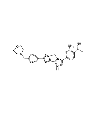 CC(=N)c1ccc(-c2n[nH]c3c2Cc2sc(-c4ccc(CN5CCOCC5)cc4)cc2-3)cc1N